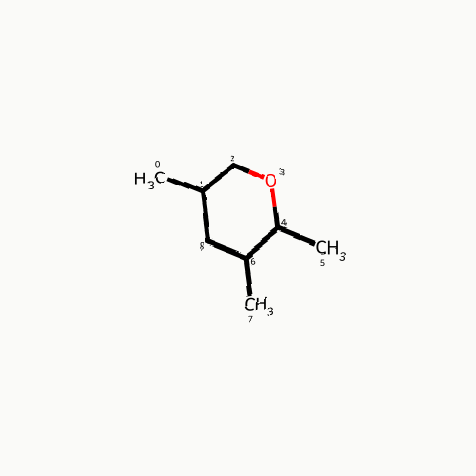 CC1COC(C)C(C)C1